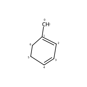 [CH]C1=CC=CCC1